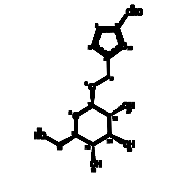 O=Cc1ccc(CO[C@@H]2O[C@H](CO)[C@@H](O)[C@H](O)[C@H]2O)o1